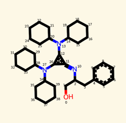 OCC(Cc1ccccc1)N=c1c(N(C2CCCCC2)C2CCCCC2)c1N(C1CCCCC1)C1CCCCC1